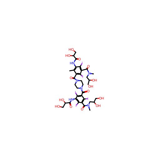 Cc1c(NC(=O)C(O)CO)c(I)c(C(=O)N(C)CC(O)CO)c(I)c1C(=O)N1CCN(C(=O)c2c(I)c(NC(=O)C(O)CO)c(I)c(C(=O)N(C)CC(O)CO)c2I)CC1